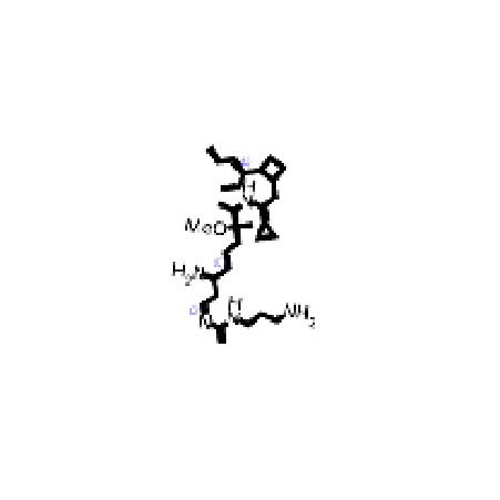 C=C/C=C(\C=C)C1CCC1CC(NC(C)C(C)(C/C=C/C(N)C/C=N\C(=C)NCCCN)OC)=C1CC1